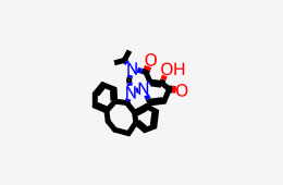 CC(C)N1CN(C2c3ccccc3CCCc3ccccc32)n2ccc(=O)c(O)c2C1=O